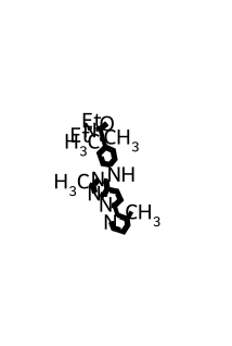 CCN(CC)C(=O)C(C)(C)c1ccc(Nc2nc(C)nc3nc(-c4ncccc4C)ccc23)cc1